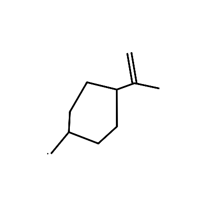 [CH2]C1CCC(C(=C)C)CC1